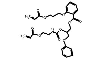 C=CC(=O)OCCCOc1ccccc1C(=O)OCC(COc1ccccc1)OC(=O)NCCOC(=O)C=C